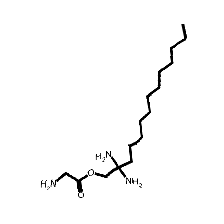 CCCCCCCCCCCCC(N)(N)COC(=O)CN